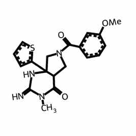 COc1cccc(C(=O)N2CC3C(=O)N(C)C(=N)NC3(c3cccs3)C2)c1